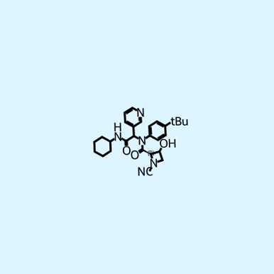 CC(C)(C)c1ccc(N(C(=O)[C@H]2C(O)CN2C#N)C(C(=O)NC2CCCCC2)c2cccnc2)cc1